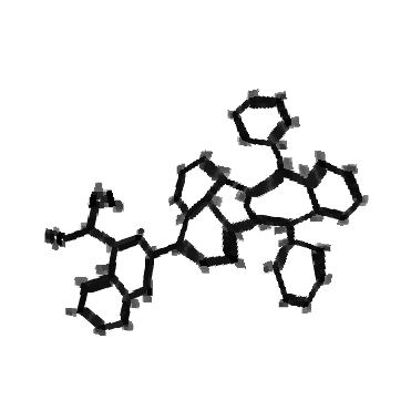 CC(C)c1cc(-c2ccc3c4c(cccc24)-c2c-3c(-c3ccccc3)c3ccccc3c2-c2ccccc2)nc2ccccc12